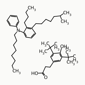 CC(C)(C)c1cc(CCC(=O)O)cc(C(C)(C)C)c1O.CCCCCCCCN(c1ccccc1)c1cccc(CCCCCC(C)C)c1CCCC